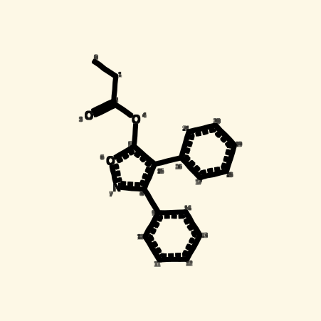 CCC(=O)Oc1onc(-c2ccccc2)c1-c1ccccc1